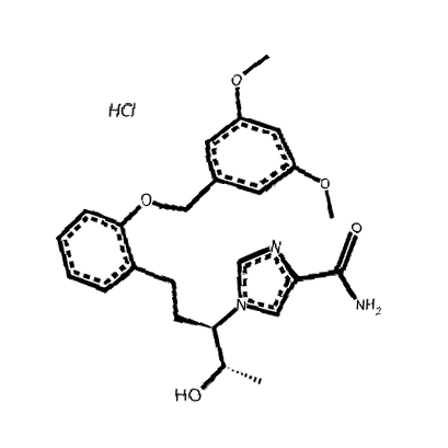 COc1cc(COc2ccccc2CC[C@H]([C@H](C)O)n2cnc(C(N)=O)c2)cc(OC)c1.Cl